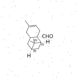 CC1=CC[C@]2(C=O)C(C1)C[C@@H]1C[C@H]2C1(C)C